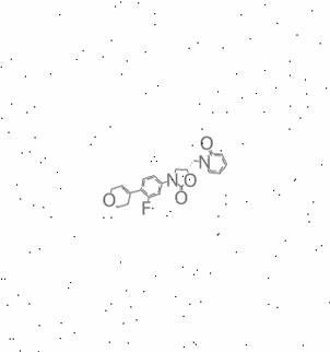 O=C1O[C@@H](Cn2ccccc2=O)CN1c1ccc(C2=CCOCC2)c(F)c1